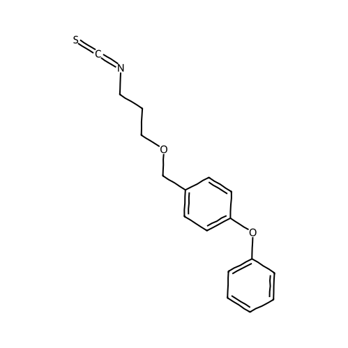 S=C=NCCCOCc1ccc(Oc2ccccc2)cc1